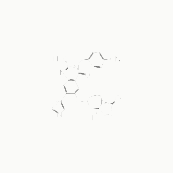 Cc1nc2cc(-c3cnco3)c(O[C@H]3CCN4C(=O)OC[C@@H]4C3)cc2c(=O)n1Cc1ccc(C#N)cc1